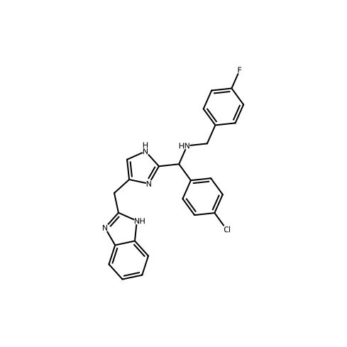 Fc1ccc(CNC(c2ccc(Cl)cc2)c2nc(Cc3nc4ccccc4[nH]3)c[nH]2)cc1